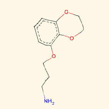 NCCCOc1cccc2c1OCCO2